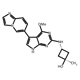 COc1nc(N[C@H]2C[C@](C)(O)C2)nc2[nH]cc(-c3ccc4nccn4c3)c12